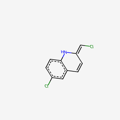 ClC=C1C=Cc2cc(Cl)ccc2N1